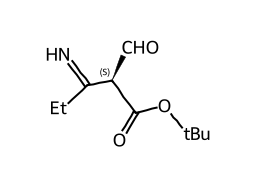 CCC(=N)[C@@H](C=O)C(=O)OC(C)(C)C